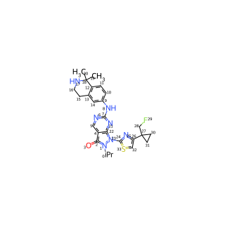 CC(C)n1c(=O)c2cnc(Nc3ccc4c(c3)CCNC4(C)C)nc2n1-c1nc(C2(CF)CC2)cs1